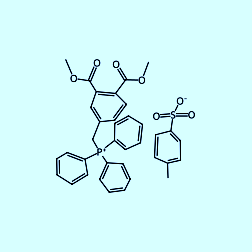 COC(=O)c1ccc(C[P+](c2ccccc2)(c2ccccc2)c2ccccc2)cc1C(=O)OC.Cc1ccc(S(=O)(=O)[O-])cc1